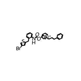 O=C(Nc1ccccc1Cc1cc(Br)cs1)OC1C[N+]2(CCCc3ccccc3)CCC1CC2